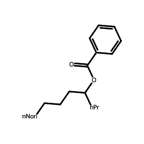 CCCCCCCCCCCCC(CCC)OC(=O)c1ccccc1